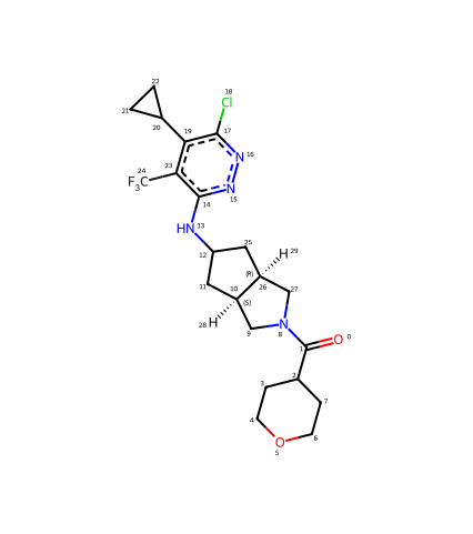 O=C(C1CCOCC1)N1C[C@H]2CC(Nc3nnc(Cl)c(C4CC4)c3C(F)(F)F)C[C@H]2C1